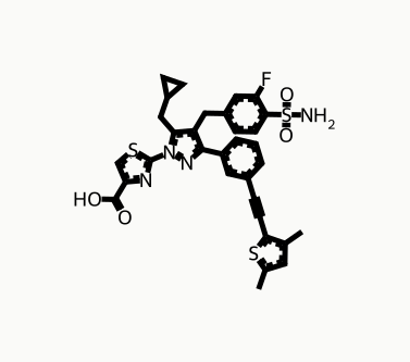 Cc1cc(C)c(C#Cc2cccc(-c3nn(-c4nc(C(=O)O)cs4)c(CC4CC4)c3Cc3ccc(S(N)(=O)=O)c(F)c3)c2)s1